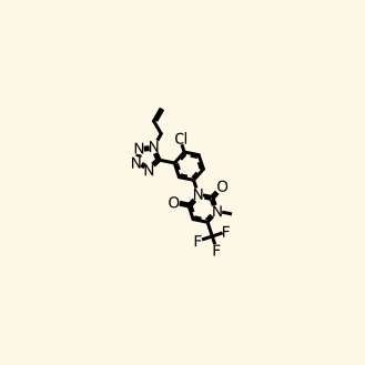 C=CCn1nnnc1-c1cc(-n2c(=O)cc(C(F)(F)F)n(C)c2=O)ccc1Cl